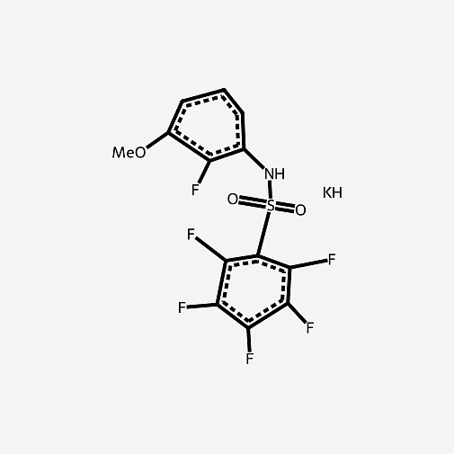 COc1cccc(NS(=O)(=O)c2c(F)c(F)c(F)c(F)c2F)c1F.[KH]